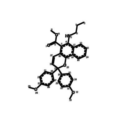 CCCNc1c(C(=O)OC)c2c(c3ccccc13)OC(c1ccc(OC)cc1)(c1ccc(OC)cc1)C=C2